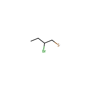 CCC(Br)C[S]